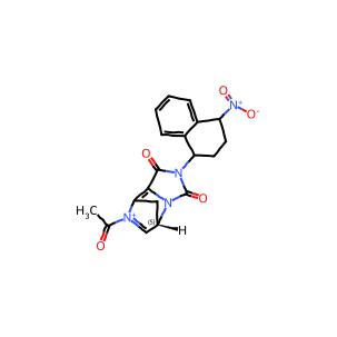 CC(=O)[N+]1=C[C@@H]2CC1=C1C(=O)N(C3CCC([N+](=O)[O-])c4ccccc43)C(=O)N12